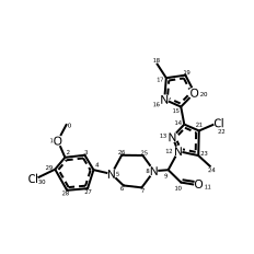 COc1cc(N2CCN(C(C=O)n3nc(-c4nc(C)co4)c(Cl)c3C)CC2)ccc1Cl